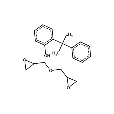 C(OCC1CO1)C1CO1.CC(C)(c1ccccc1)c1ccccc1O